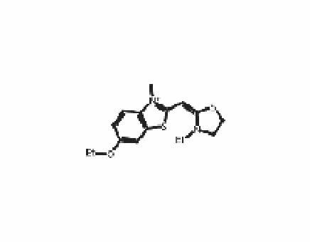 CCOc1ccc2c(c1)sc(C=C1SCCN1CC)[n+]2C